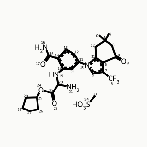 CC1(C)CC(=O)c2c(C(F)(F)F)cn(-c3ccc(C(N)=O)c(NC(N)C(=O)OC4CCCC4)c3)c2C1.CS(=O)(=O)O